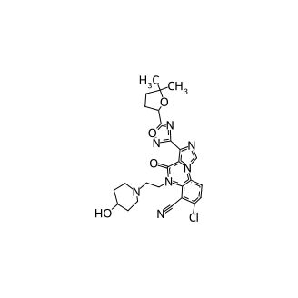 CC1(C)CCC(c2nc(-c3ncn4c3c(=O)n(CCN3CCC(O)CC3)c3c(C#N)c(Cl)ccc34)no2)O1